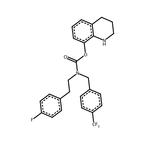 O=C(Oc1cccc2c1NCCC2)N(CCc1ccc(F)cc1)Cc1ccc(C(F)(F)F)cc1